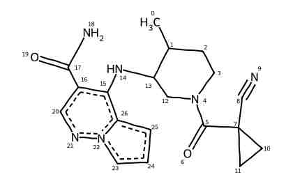 CC1CCN(C(=O)C2(C#N)CC2)CC1Nc1c(C(N)=O)cnn2cccc12